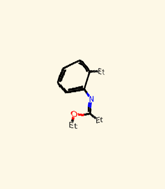 CCOC(CC)=Nc1ccccc1CC